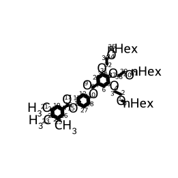 CCCCCCOCCOc1cc(C(=O)Oc2ccc(OC(=O)c3cc(C)c(C)c(C)c3)cc2)cc(OCCOCCCCCC)c1OCCOCCCCCC